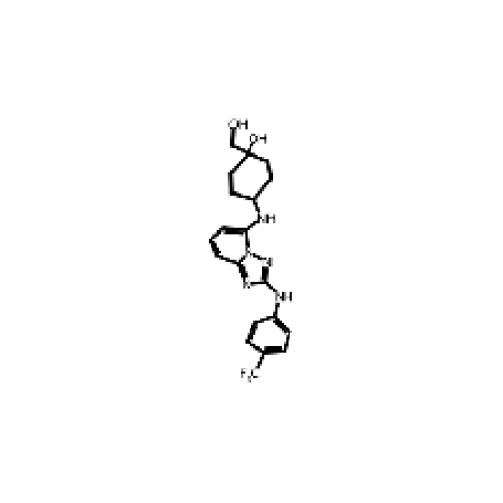 OCC1(O)CCC(Nc2cccc3nc(Nc4ccc(C(F)(F)F)cc4)nn23)CC1